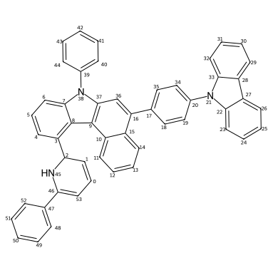 C1=CC(c2cccc3c2c2c4ccccc4c(-c4ccc(-n5c6ccccc6c6ccccc65)cc4)cc2n3-c2ccccc2)NC(c2ccccc2)=C1